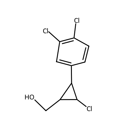 OCC1C(Cl)C1c1ccc(Cl)c(Cl)c1